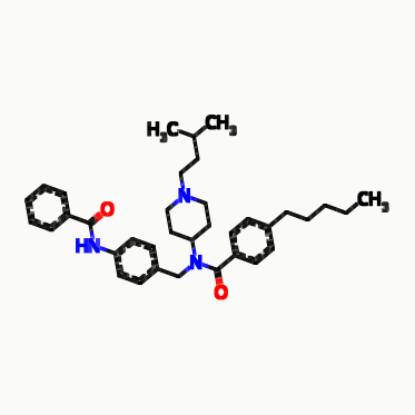 CCCCCc1ccc(C(=O)N(Cc2ccc(NC(=O)c3ccccc3)cc2)C2CCN(CCC(C)C)CC2)cc1